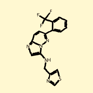 FC(F)(F)c1ccccc1-c1ccc2ncc(NCc3cscn3)n2n1